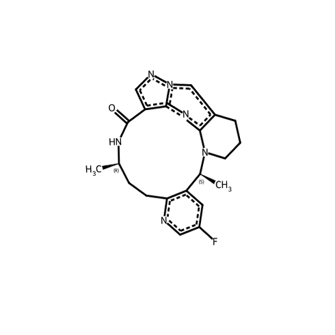 C[C@@H]1CCc2ncc(F)cc2[C@H](C)N2CCCc3cn4ncc(c4nc32)C(=O)N1